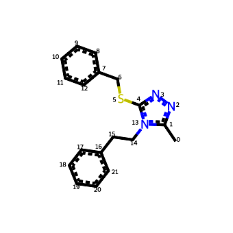 Cc1nnc(SCc2ccccc2)n1CCc1ccccc1